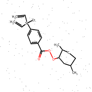 C=C[Si](C=C)(CC)c1ccc(C(=O)OO[C]2CC(C)CCC2C)cc1